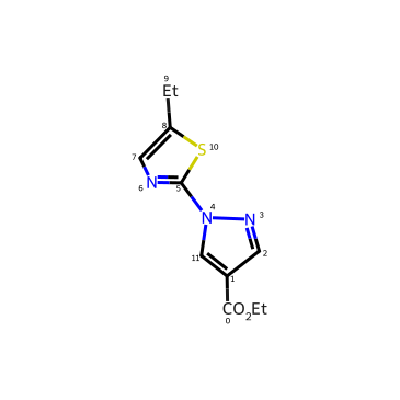 CCOC(=O)c1cnn(-c2ncc(CC)s2)c1